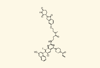 C=CC(=O)N1CCN(c2nc(NCCC(=O)N(C)CCOc3ccc4c(c3)CN(C3CCC(=O)NC3=O)C4=O)nc3c(F)c(-c4cc(O)cc5ccccc45)c(Cl)cc23)CC1